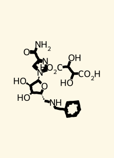 NC(=O)c1cn([C@@H]2O[C@H](CNCc3ccccc3)[C@@H](O)[C@H]2O)cn1.O=C(O)C(O)C(O)C(=O)O